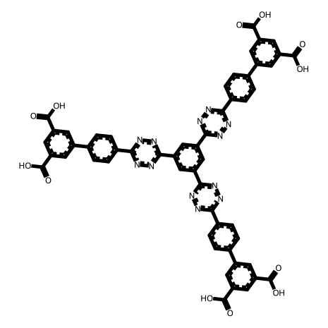 O=C(O)c1cc(C(=O)O)cc(-c2ccc(-c3nnc(-c4cc(-c5nnc(-c6ccc(-c7cc(C(=O)O)cc(C(=O)O)c7)cc6)nn5)cc(-c5nnc(-c6ccc(-c7cc(C(=O)O)cc(C(=O)O)c7)cc6)nn5)c4)nn3)cc2)c1